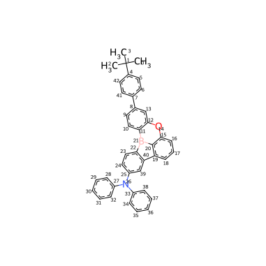 CC(C)(C)c1ccc(-c2ccc3c(c2)Oc2cccc4c2B3c2ccc(N(c3ccccc3)c3ccccc3)cc2-4)cc1